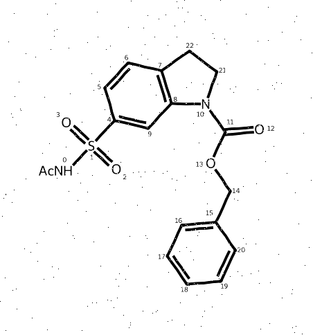 CC(=O)NS(=O)(=O)c1ccc2c(c1)N(C(=O)OCc1ccccc1)CC2